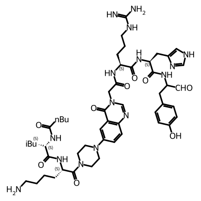 CCCCC(=O)N[C@H](C(=O)N[C@@H](CCCCN)C(=O)N1CCN(c2ccc3ncn(CC(=O)N[C@@H](CCCNC(=N)N)C(=O)N[C@@H](Cc4c[nH]cn4)C(=O)NC(C=O)Cc4ccc(O)cc4)c(=O)c3c2)CC1)[C@@H](C)CC